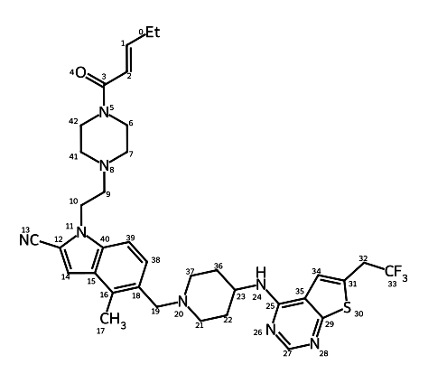 CC/C=C/C(=O)N1CCN(CCn2c(C#N)cc3c(C)c(CN4CCC(Nc5ncnc6sc(CC(F)(F)F)cc56)CC4)ccc32)CC1